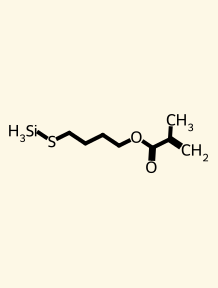 C=C(C)C(=O)OCCCCS[SiH3]